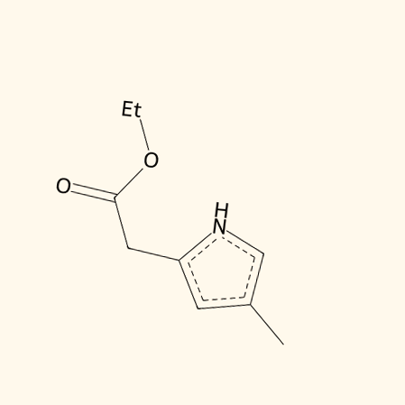 CCOC(=O)Cc1cc(C)c[nH]1